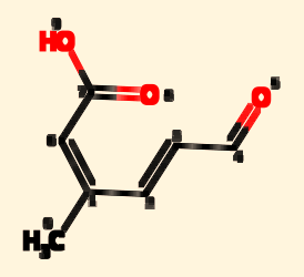 CC(C=CC=O)=CC(=O)O